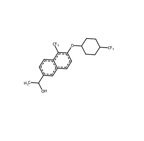 CC(O)c1ccc2c(C(F)(F)F)c(OC3CCC(C(F)(F)F)CC3)ccc2c1